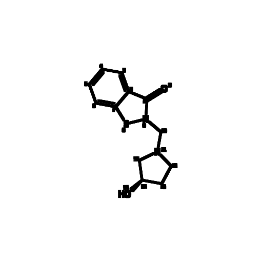 O=c1c2ccccc2sn1CN1CC[C@@H](O)C1